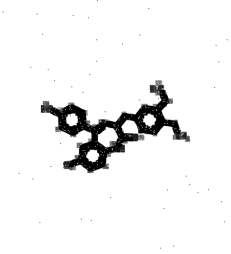 CCc1ccc(CC2N=C(c3ccc(O)cc3)c3cc(Cl)ccc3NC2=O)cc1CC